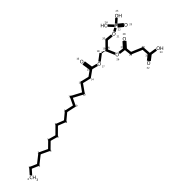 CCCCCCCCCCCCCCCC(=O)OC[C@H](COP(=O)(O)O)OC(=O)CCC(=O)O